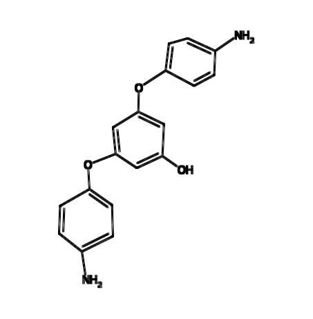 Nc1ccc(Oc2cc(O)cc(Oc3ccc(N)cc3)c2)cc1